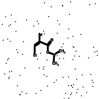 CCC=C(C(C)=O)C(=O)ON(C)C